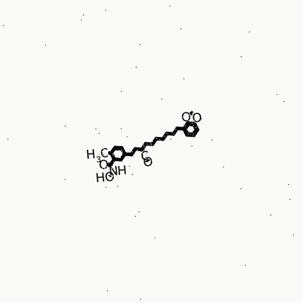 CC1C=CC(CCC(=C=O)CCCCCCCc2cccc3c2OCO3)CC1C(=O)NO